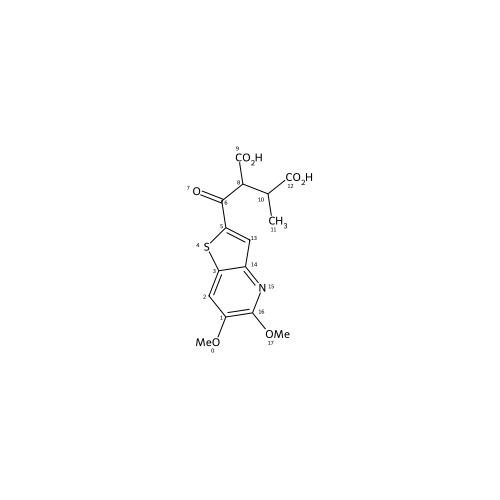 COc1cc2sc(C(=O)C(C(=O)O)C(C)C(=O)O)cc2nc1OC